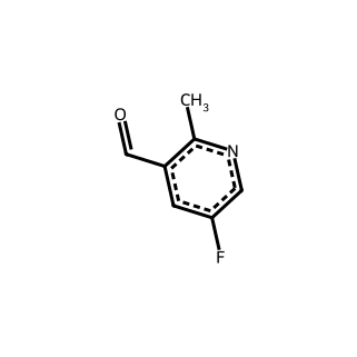 Cc1ncc(F)cc1C=O